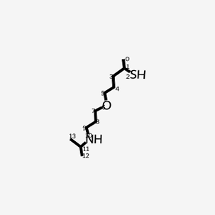 CC(S)CCCOCCCNC(C)C